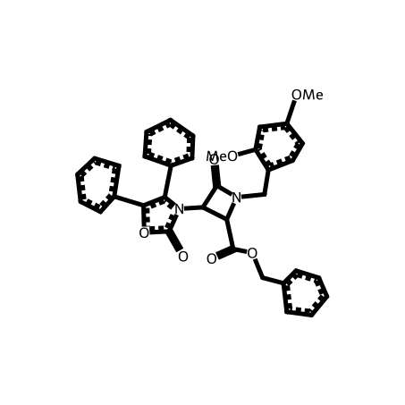 COc1ccc(CN2C(=O)C(n3c(-c4ccccc4)c(-c4ccccc4)oc3=O)C2C(=O)OCc2ccccc2)c(OC)c1